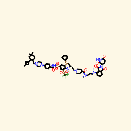 CN(CCCNc1cccc2c1C(=O)N(C1CCC(=O)NC1=O)C2=O)C(=O)C1CCN(CC[C@H](CSc2ccccc2)Nc2ccc(S(=O)(=O)NC(=O)c3ccc(N4CCN(CC5=C(C67CC(C)(C6)C7)CC(C)(C)CC5)CC4)cc3)cc2S(=O)(=O)C(F)(F)F)CC1